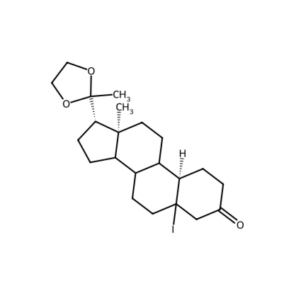 CC1([C@H]2CCC3C4CCC5(I)CC(=O)CC[C@@H]5C4CC[C@@]32C)OCCO1